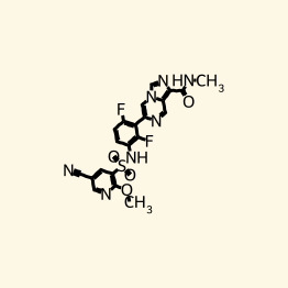 CNC(=O)c1ncn2cc(-c3c(F)ccc(NS(=O)(=O)c4cc(C#N)cnc4OC)c3F)ncc12